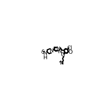 COc1cc(OCCCN(C)C)c(-c2cn3ccc(N4CCC(NSC)CC4)cc3n2)cc1Cl